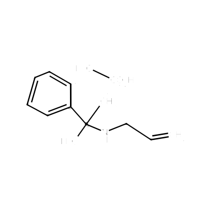 C=CCNC(C)(C)c1ccccc1.CC(=O)O